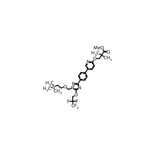 COC(=O)C(C)(C)COc1ccc(-c2ccc(-c3nc(OCC(F)(F)C(F)(F)F)n(COCCS(C)(C)C)n3)cc2)cn1